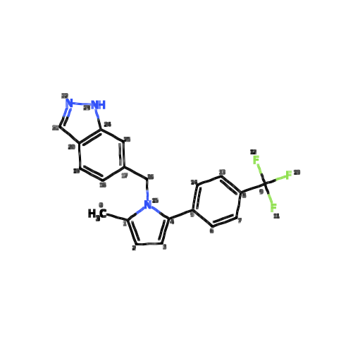 Cc1ccc(-c2ccc(C(F)(F)F)cc2)n1Cc1ccc2cn[nH]c2c1